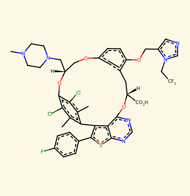 Cc1c(Cl)c2c(Cl)c(C)c1-c1c(-c3ccc(F)cc3)sc3ncnc(c13)O[C@@H](C(=O)O)Cc1cc(ccc1OCc1cncn1CC(F)(F)F)OC[C@@H](CN1CCN(C)CC1)O2